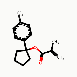 C=C(C)C(=O)OC1(c2ccc(C(F)(F)F)cc2)CCCC1